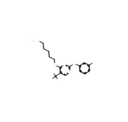 NCCCCCNc1nc(Nc2cccc(Cl)c2)ncc1C(F)(F)F